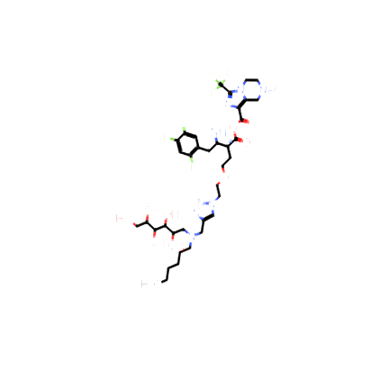 CCCCCCN(Cc1cn(CCOCCC(C(=O)OC(=O)c2nc(C(F)(F)F)n3c2CNCC3)C(N)Cc2cc(F)c(F)cc2F)nn1)CC(O)C(O)C(O)C(O)CO